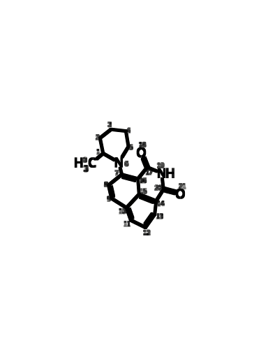 CC1CCCCN1c1ccc2cccc3c2c1C(=O)NC3=O